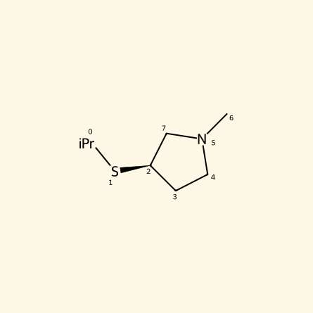 CC(C)S[C@@H]1CCN(C)C1